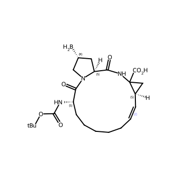 B[C@@H]1C[C@H]2C(=O)NC3(C(=O)O)C[C@H]3/C=C\CCCCC[C@H](NC(=O)OC(C)(C)C)C(=O)N2C1